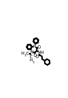 CC(C)N1C(=O)C(NC(=O)CCC2CCCCC2)C(=O)N(c2ccccc2)c2ccccc21